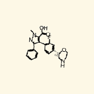 Cn1nc(-c2ccccc2)c(-c2ccc([C@H]3CNCCO3)cc2F)c1C(=O)O